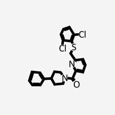 O=C(c1cccc(CSc2c(Cl)cccc2Cl)n1)N1CCC(c2ccccc2)CC1